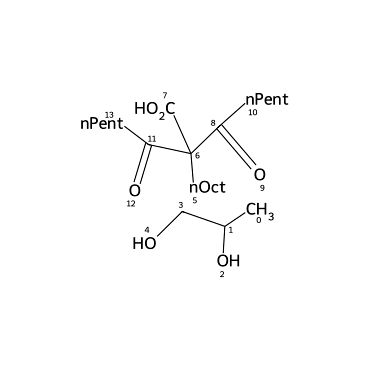 CC(O)CO.CCCCCCCCC(C(=O)O)(C(=O)CCCCC)C(=O)CCCCC